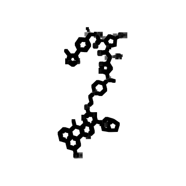 Cc1ncsc1-c1ccc([C@H](C)NC(=O)[C@@H]2C[C@@H](O)CN2C(=O)[C@@H](c2cc(N(C)C3CCN(CCOc4nc(N5CC6CCC(C5)N6)c5cnc6c(c5n4)C(C)c4cccc5cc(O)cc-6c45)CC3)no2)C(C)C)cc1